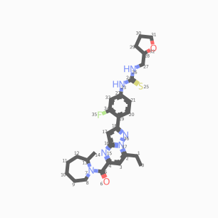 CCc1cc(C(=O)N2CCCCCC2C)nc2cc(-c3ccc(NC(=S)NCC4CCCO4)cc3F)nn12